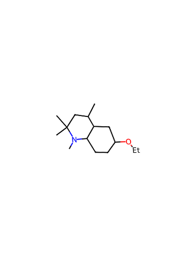 CCOC1CCC2C(C1)C(C)CC(C)(C)N2C